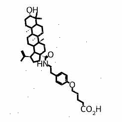 C=C(C)[C@@H]1CC[C@]2(C(=O)NCCc3ccc(OCCCCC(=O)O)cc3)CC[C@]3(C)C(CCC4[C@@]5(C)CC[C@H](O)C(C)(C)C5CC[C@]43C)C12